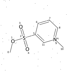 COS(=O)(=O)c1ccc[n+](C)c1